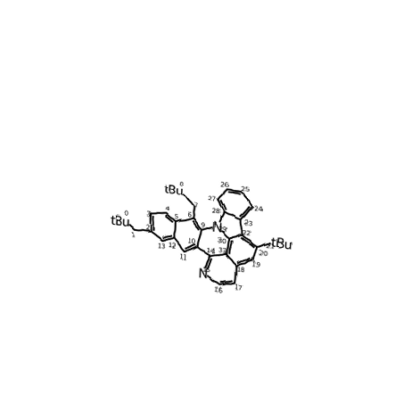 CC(C)(C)Cc1ccc2c(CC(C)(C)C)c3c(cc2c1)c1nccc2cc(C(C)(C)C)c4c5ccccc5n3c4c21